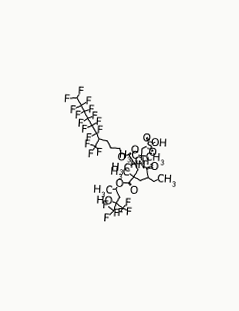 CCC(CC(C)(CC(C)(C)C(=O)OCCCC(C(F)(F)F)C(F)(F)C(F)(F)C(F)(F)C(F)(F)C(F)(F)C(F)F)C(=O)OC(C)CC(O)(C(F)(F)F)C(F)(F)F)C(=O)NC(C)(C)CS(=O)(=O)O